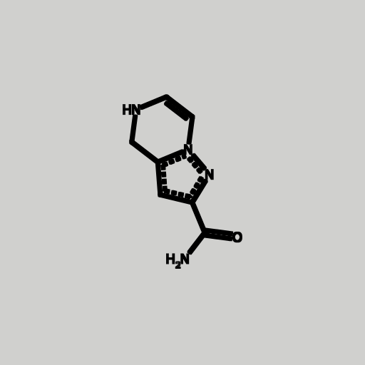 NC(=O)c1cc2n(n1)C=CNC2